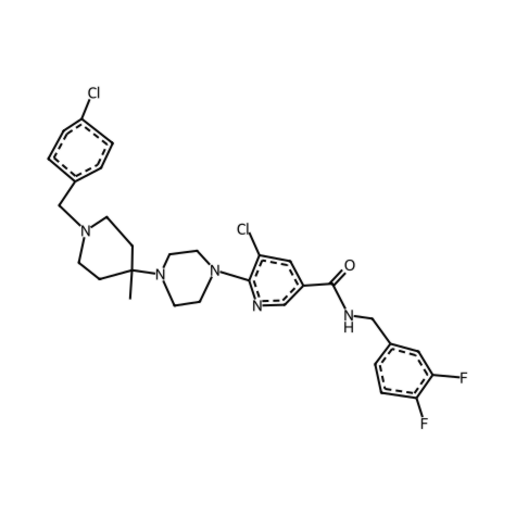 CC1(N2CCN(c3ncc(C(=O)NCc4ccc(F)c(F)c4)cc3Cl)CC2)CCN(Cc2ccc(Cl)cc2)CC1